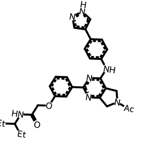 CCC(CC)NC(=O)COc1cccc(-c2nc3c(c(Nc4ccc(-c5cn[nH]c5)cc4)n2)CN(C(C)=O)C3)c1